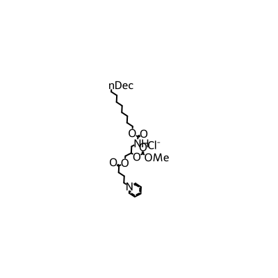 CCCCCCCCCCCCCCCCCCOC(=O)NCC(COC(=O)CCC[n+]1ccccc1)OC(=O)OC.[Cl-]